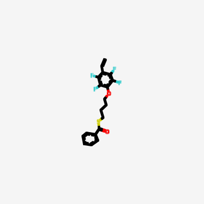 C=Cc1c(F)c(F)c(OCCCCSC(=O)c2ccccc2)c(F)c1F